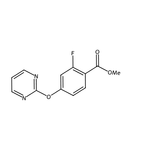 COC(=O)c1ccc(Oc2ncccn2)cc1F